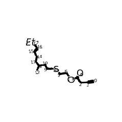 C#CCC(=O)OCCSCCC(C)CCC=CCC